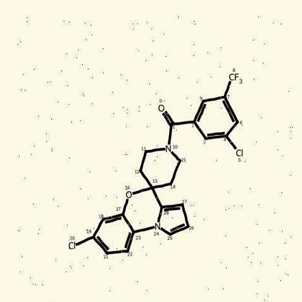 O=C(c1cc(Cl)cc(C(F)(F)F)c1)N1CCC2(CC1)Oc1cc(Cl)ccc1-n1cccc12